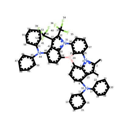 Cc1c(C)n2c3c(ccc(N(c4ccccc4)c4ccccc4)c13)B1c3c-2cccc3-n2c(C(F)(F)F)c(C(F)(F)F)c3c(N(c4ccccc4)c4ccccc4)ccc1c32